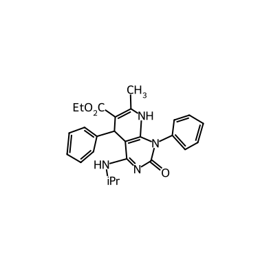 CCOC(=O)C1=C(C)Nc2c(c(NC(C)C)nc(=O)n2-c2ccccc2)C1c1ccccc1